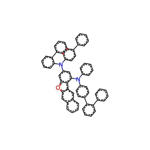 c1ccc(-c2ccc(N(c3cc(N(c4ccccc4)c4ccc(-c5ccccc5-c5ccccc5)cc4)c4c(c3)oc3cc5ccccc5cc34)c3ccccc3-c3ccccc3)cc2)cc1